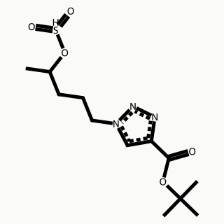 CC(CCCn1cc(C(=O)OC(C)(C)C)nn1)O[SH](=O)=O